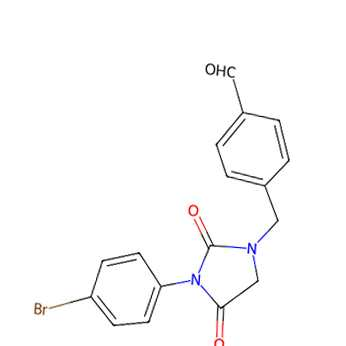 O=Cc1ccc(CN2CC(=O)N(c3ccc(Br)cc3)C2=O)cc1